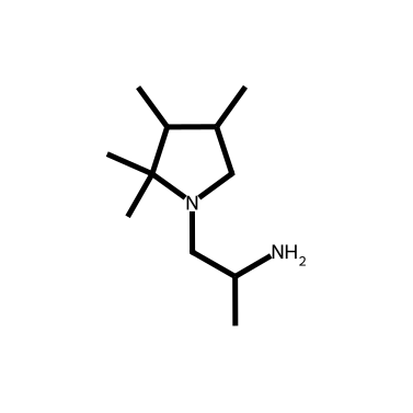 CC(N)CN1CC(C)C(C)C1(C)C